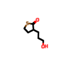 O=C1SCCC1CCCO